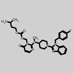 CC(C)CCOC(=O)OCn1c(N(C)C2CCN(c3nc4ccccc4n3Cc3ccc(F)cc3)CC2)nccc1=O